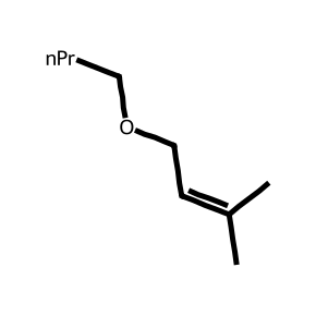 CCCCOCC=C(C)C